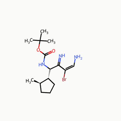 C[C@@H]1CCC[C@H]1C(NC(=O)OC(C)(C)C)C(=N)/C(Br)=C\N